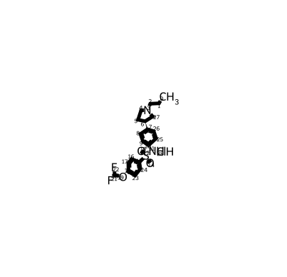 CCCN1CC[C@@H](c2ccc(NS(=O)(=O)c3ccc(OC(F)F)cc3)cc2)C1.Cl